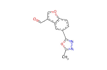 Cc1nnc(-c2ccc3occ(C=O)c3c2)o1